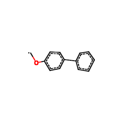 [CH2]Oc1ccc(-c2ccccc2)cc1